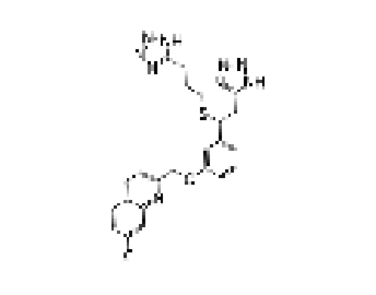 Clc1ccc2ccc(COc3cccc(C(Cc4nnn[nH]4)SCCCc4nnn[nH]4)c3)nc2c1